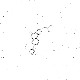 CCC(CO)Cn1cc2c(N)nc3cc(-c4cc[nH]n4)ccc3c2n1